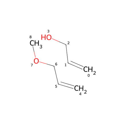 C=CCO.C=CCOC